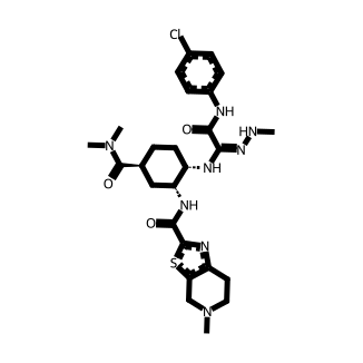 CN/N=C(/N[C@H]1CC[C@H](C(=O)N(C)C)C[C@H]1NC(=O)c1nc2c(s1)CN(C)CC2)C(=O)Nc1ccc(Cl)cc1